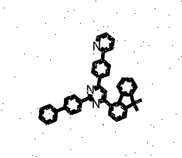 CC1(C)c2ccccc2-c2c(-c3cc(-c4ccc(-c5ccccn5)cc4)nc(-c4ccc(-c5ccccc5)cc4)n3)cccc21